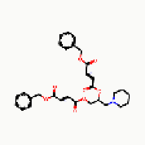 O=C(/C=C/C(=O)OCC(CN1CCCCC1)OC(=O)/C=C/C(=O)OCc1ccccc1)OCc1ccccc1